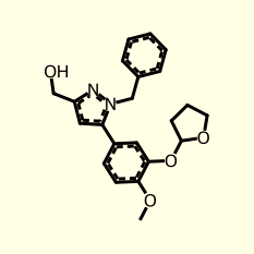 COc1ccc(-c2cc(CO)nn2Cc2ccccc2)cc1OC1CCCO1